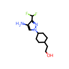 Nc1cn(C2CCC(CCO)CC2)nc1C(F)F